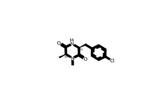 C[C@H]1C(=O)N[C@@H](Cc2ccc(Cl)cc2)C(=O)N1C